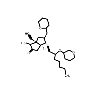 C#C[C@@]12C[C@@H](OC3CCCCO3)[C@H](C=CC(CCCCC)OC3CCCOC3)[C@H]1CC(=O)C2[SiH3]